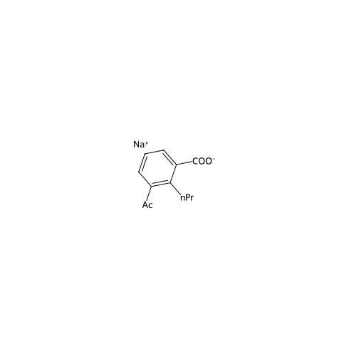 CCCc1c(C(C)=O)cccc1C(=O)[O-].[Na+]